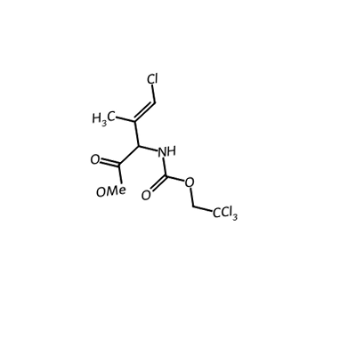 COC(=O)C(NC(=O)OCC(Cl)(Cl)Cl)/C(C)=C/Cl